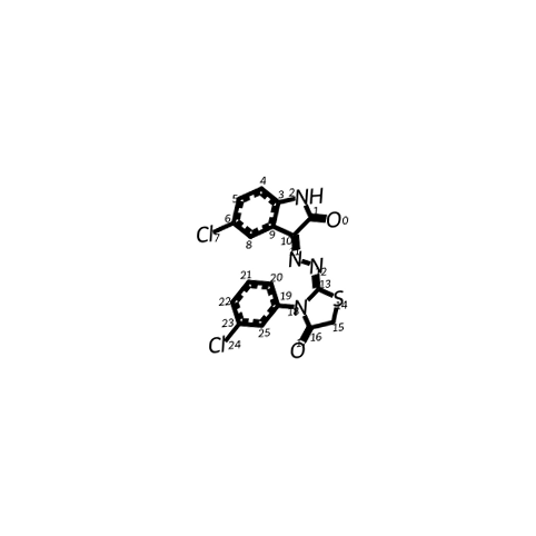 O=C1Nc2ccc(Cl)cc2C1=NN=C1SCC(=O)N1c1cccc(Cl)c1